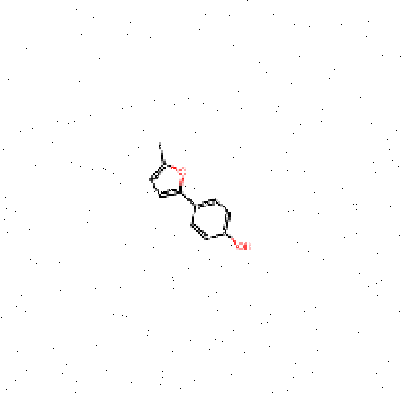 Cc1ccc(-c2ccc(O)cc2)o1